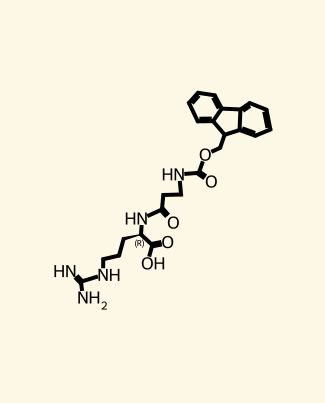 N=C(N)NCCC[C@@H](NC(=O)CCNC(=O)OCC1c2ccccc2-c2ccccc21)C(=O)O